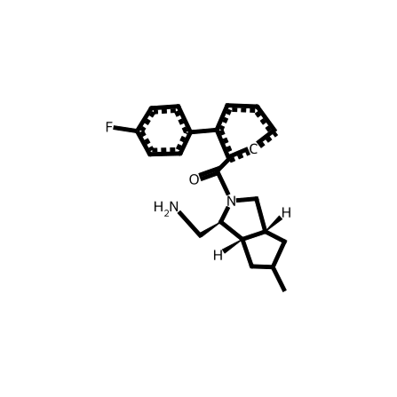 CC1C[C@H]2CN(C(=O)c3ccccc3-c3ccc(F)cc3)[C@H](CN)[C@H]2C1